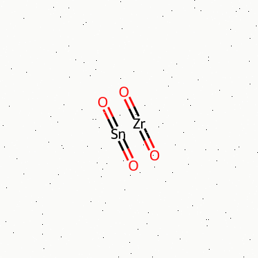 [O]=[Sn]=[O].[O]=[Zr]=[O]